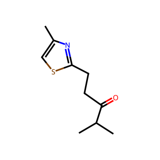 Cc1csc(CCC(=O)C(C)C)n1